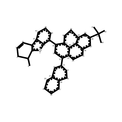 CC1CC=Cc2c1oc1c(-c3cc(-c4ccc5ccccc5c4)c4ccc5cc(C(C)(C)C)cc6ccc3c4c56)cccc21